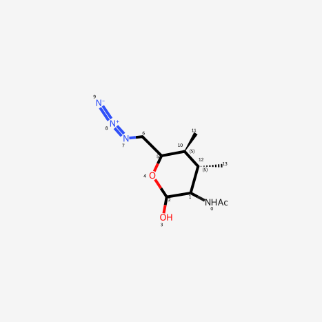 CC(=O)NC1C(O)OC(CN=[N+]=[N-])[C@@H](C)[C@@H]1C